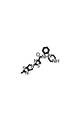 Cc1nc2c(s1)CN(c1nc(C(=O)Nc3ccccc3N3CCNCC3)cs1)C2